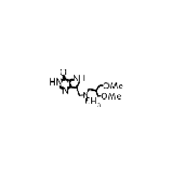 COCC(COC)CN(C)Cc1c[nH]c2c(=O)[nH]cnc12